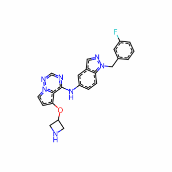 Fc1cccc(Cn2ncc3cc(Nc4ncnn5ccc(OC6CNC6)c45)ccc32)c1